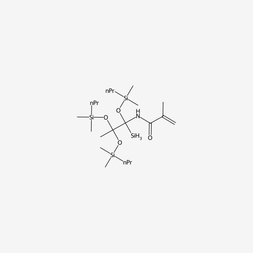 C=C(C)C(=O)NC([SiH3])(O[Si](C)(C)CCC)C(C)(O[Si](C)(C)CCC)O[Si](C)(C)CCC